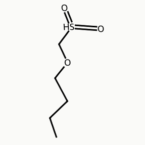 CCCCOC[SH](=O)=O